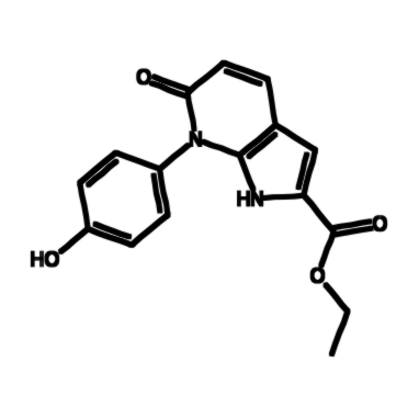 CCOC(=O)c1cc2ccc(=O)n(-c3ccc(O)cc3)c2[nH]1